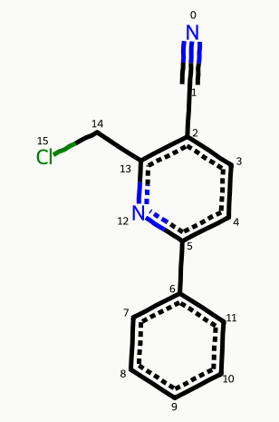 N#Cc1ccc(-c2ccccc2)nc1CCl